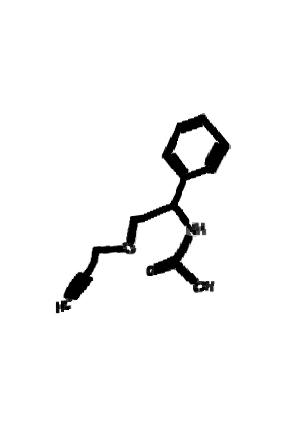 C#CCOCC(NC(=O)O)c1ccccc1